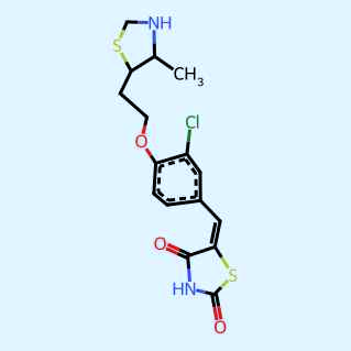 CC1NCSC1CCOc1ccc(C=C2SC(=O)NC2=O)cc1Cl